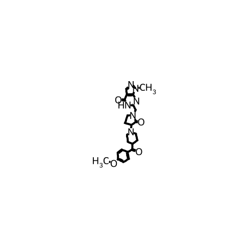 COc1ccc(C(=O)C2CCN(C3CCN(Cc4nc5c(cnn5C)c(=O)[nH]4)C3=O)CC2)cc1